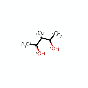 OC(CC(O)C(F)(F)F)C(F)(F)F.[Cu]